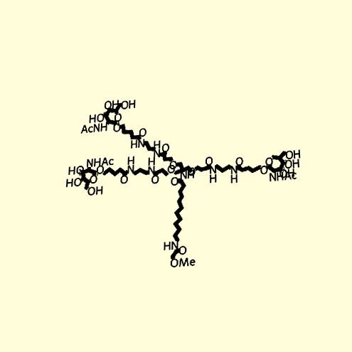 COCC(=O)NCCCCCCCCCCCC(=O)NC(COCCC(=O)NCCCNC(=O)CCCCO[C@@H]1OCC(CO)[C@H](O)[C@H](O)C1NC(C)=O)(COCCC(=O)NCCCNC(=O)CCCCO[C@@H]1OC(CO)[C@H](O)[C@H](O)C1NC(C)=O)COCCC(=O)NCCCNC(=O)CCCCO[C@@H]1OC(CO)[C@H](O)[C@H](O)C1NC(C)=O